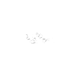 CC(=O)c1ccc(-c2nccc3[nH]c(-c4n[nH]c5ncc(-c6cncc(N(C)C)c6)c(F)c45)nc23)s1